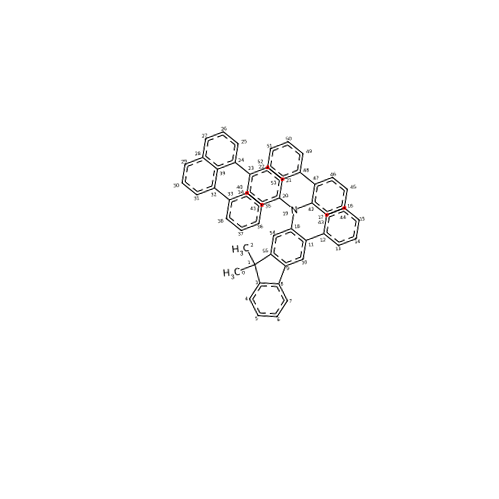 CC1(C)c2ccccc2-c2cc(-c3ccccc3)c(N(c3ccc(-c4cccc5cccc(-c6ccccc6)c45)cc3)c3ccccc3-c3ccccc3)cc21